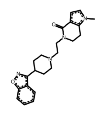 Cn1ccc2c1CCN(CCN1CCC(c3noc4ccccc34)CC1)C2=O